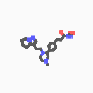 CN1CCN(CCc2cnn3ccccc23)C(c2ccc(/C=C/C(=O)NO)cc2)C1